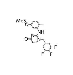 CSOc1ccc(C)c(Nc2nc(=O)ccn2Cc2cc(F)c(F)c(F)c2)c1